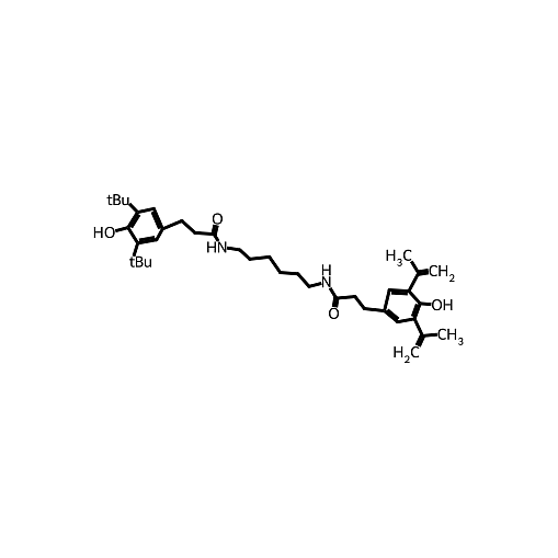 C=C(C)c1cc(CCC(=O)NCCCCCCNC(=O)CCc2cc(C(C)(C)C)c(O)c(C(C)(C)C)c2)cc(C(=C)C)c1O